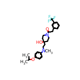 CC(C)Oc1ccc(N(C)CCC2(O)CCN(C(=O)Cc3cccc(C(F)(F)F)c3)CC2)cc1